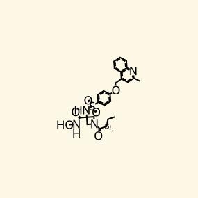 CC[C@H](C)C(=O)N1CC(NS(=O)(=O)c2ccc(OCc3cc(C)nc4ccccc34)cc2)(C(=O)NO)C1